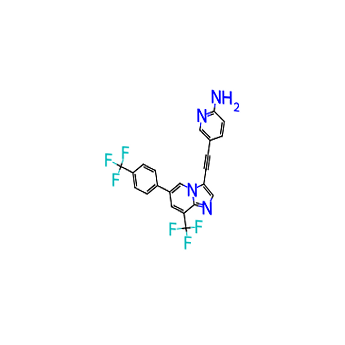 Nc1ccc(C#Cc2cnc3c(C(F)(F)F)cc(-c4ccc(C(F)(F)F)cc4)cn23)cn1